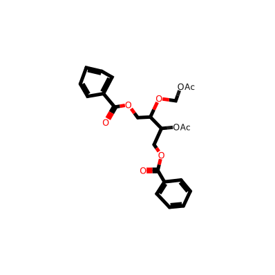 CC(=O)OCOC(COC(=O)c1ccccc1)C(COC(=O)c1ccccc1)OC(C)=O